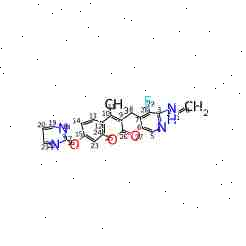 C=CNc1nccc(Cc2c(C)c3ccc(Oc4ncccn4)cc3oc2=O)c1F